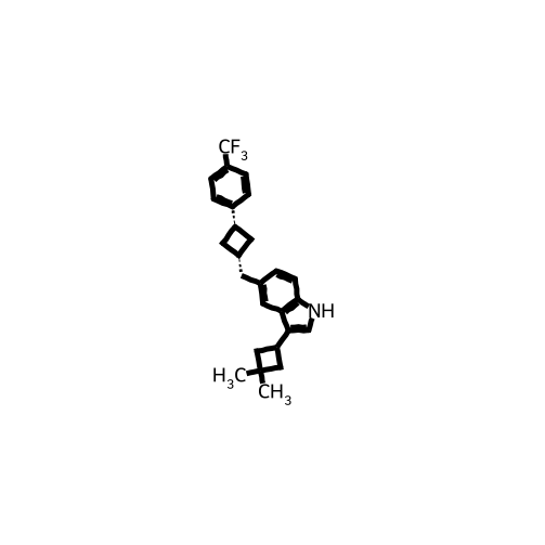 CC1(C)CC(c2c[nH]c3ccc(C[C@H]4C[C@@H](c5ccc(C(F)(F)F)cc5)C4)cc23)C1